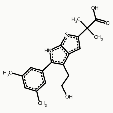 Cc1cc(C)cc(-c2[nH]c3sc(C(C)(C)C(=O)O)cc3c2CCO)c1